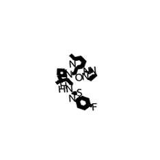 Cc1ccc(-n2nccn2)c(C(=O)N2C3CC(C3)[C@H](C)C2CNc2nc3ccc(F)cc3s2)n1